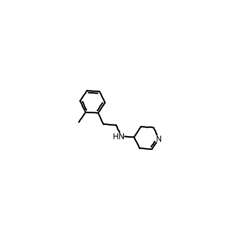 Cc1ccccc1CCNC1CC=NCC1